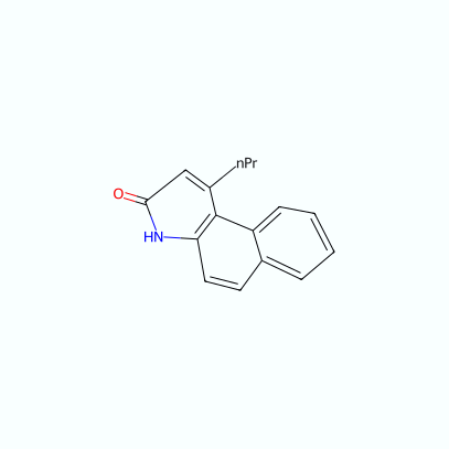 CCCc1cc(=O)[nH]c2ccc3ccccc3c12